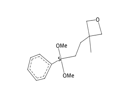 CO[Si](CCC1(C)COC1)(OC)c1ccccc1